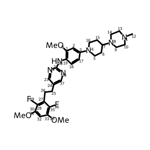 COc1cc(N2CCC(N3CCN(C)CC3)CC2)ccc1Nc1ncc(CCc2c(F)c(OC)cc(OC)c2F)cn1